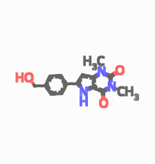 Cn1c(=O)c2[nH]c(-c3ccc(CO)cc3)cc2n(C)c1=O